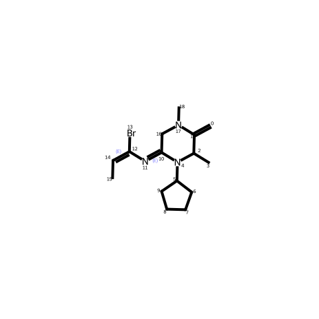 C=C1C(C)N(C2CCCC2)/C(=N/C(Br)=C\C)CN1C